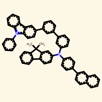 CC1(C)c2ccccc2-c2ccc(N(c3ccc(-c4ccc5ccccc5c4)cc3)c3cccc(-c4cccc(-c5ccc6c(c5)c5ccccc5n6-c5ccccc5)c4)c3)cc21